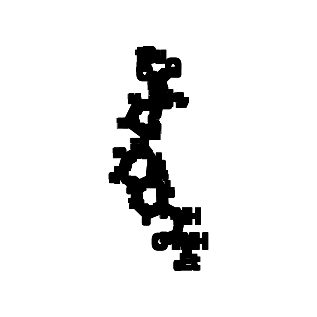 CCNC(=O)Nc1ccc2ncc(-c3ccc(N(C)C(=O)OC(C)(C)C)s3)nc2n1